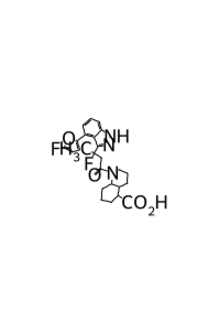 CC(F)(CC(=O)N1CCCC2C(C(=O)O)CCCC21)c1n[nH]c2cccc(-c3ccc(F)o3)c12